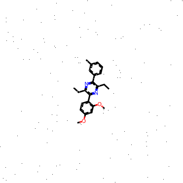 CCc1nc(-c2ccc(OC)cc2OC)c(CC)nc1-c1cccc(C)c1